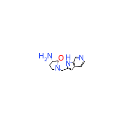 N[C@H]1CCN(Cc2cc3ccncc3[nH]2)C1=O